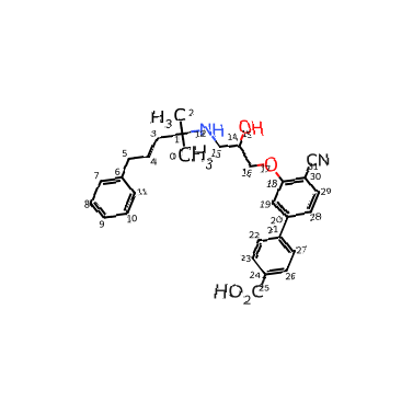 CC(C)(CCCc1ccccc1)NCC(O)COc1cc(-c2ccc(C(=O)O)cc2)ccc1C#N